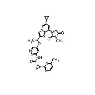 Cc1ccnc([C@H]2C[C@@H]2C(=O)Nc2cc(OC(C)c3cn4cc(C5CC5)cc(N5CC(=O)N(C)C5=O)c4n3)cnn2)n1